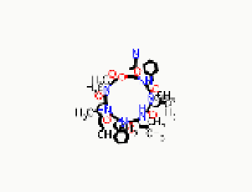 CCCC[C@@H](C)C[C@@H]1NC(=O)[C@H](CC2CCCCC2)N(C)C(=O)[C@H](CC(C)C)NC(=O)[C@H](CC(C)C)N(C)C(=O)[C@H](CC2CCCCC2)NC(=O)[C@@H](CCC#N)OC(=O)[C@H](C)N(C)C1=O